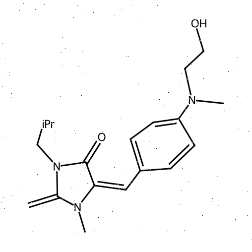 C=c1n(CC(C)C)c(=O)/c(=C\c2ccc(N(C)CCO)cc2)n1C